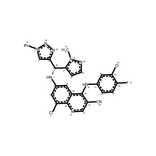 CC(C)n1cc([C@@H](Nc2cc(Cl)c3ncc(C#N)c(Nc4ccc(F)c(Cl)c4)c3c2)c2ccnn2C)nn1